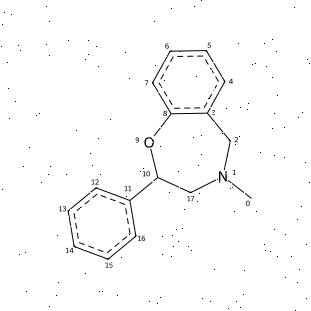 CN1Cc2ccccc2OC(c2ccccc2)C1